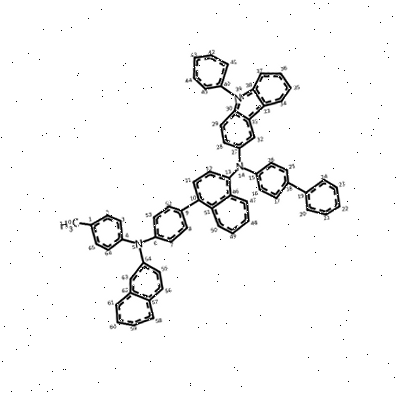 Cc1ccc(N(c2ccc(-c3ccc(N(c4ccc(-c5ccccc5)cc4)c4ccc5c(c4)c4ccccc4n5-c4ccccc4)c4ccccc34)cc2)c2ccc3ccccc3c2)cc1